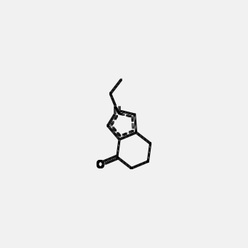 CCn1cc2c(c1)C(=O)CCC2